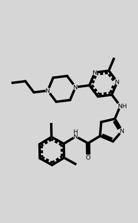 CCCN1CCN(c2cc(NC3=NC=C(C(=O)Nc4c(C)cccc4C)C3)nc(C)n2)CC1